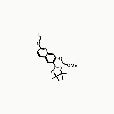 COCOc1cc2nc(OCF)ccc2cc1B1OC(C)(C)C(C)(C)O1